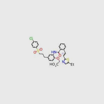 CCc1cnc(/C=C/c2ccccc2C(=O)Nc2cc(CCCS(=O)(=O)c3ccc(Cl)cc3)ccc2OCC(=O)O)s1